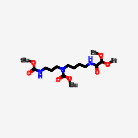 CCOC(OCC)C(=O)NCCCCN(CCCNC(=O)OC(C)(C)C)C(=O)OC(C)(C)C